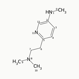 CNc1ccc(CCN(C)C)nc1